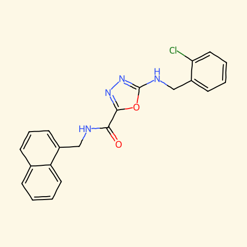 O=C(NCc1cccc2ccccc12)c1nnc(NCc2ccccc2Cl)o1